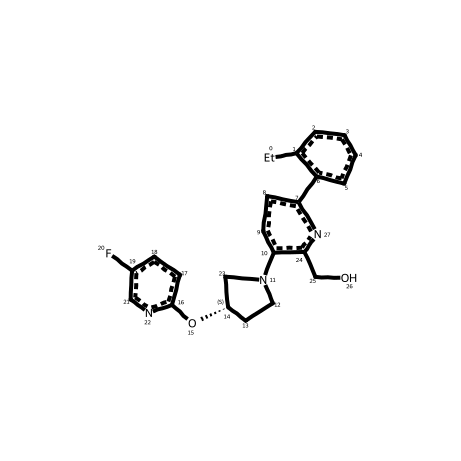 CCc1ccccc1-c1ccc(N2CC[C@H](Oc3ccc(F)cn3)C2)c(CO)n1